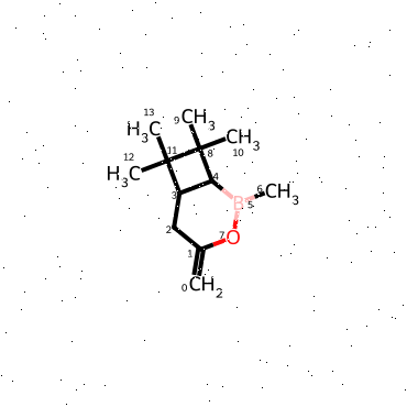 C=C1CC2C(B(C)O1)C(C)(C)C2(C)C